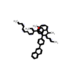 C=C/C=C\C=C/C/C=C\C(=C/C)c1ccc(\C2=C/C=C\C(C)=C/C=C(c3ccc(-c4ccc5ccccc5c4)cc3)/C(=C/C=C/C)C2C)cc1